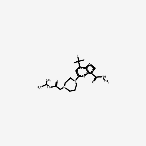 CNC(=O)c1csc2c(C(F)(F)F)cc(N3CCCN(CC(=O)NC(C)C)CC3)nc12